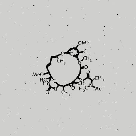 COc1cc2cc(c1Cl)N(C)C(=O)CC(OC(=O)[C@H](C)N(C)C(C)=O)C1(C)OC1C(C)C1CC(O)(NC(=O)O1)C(OC)/C=C/C=C(\C)C2